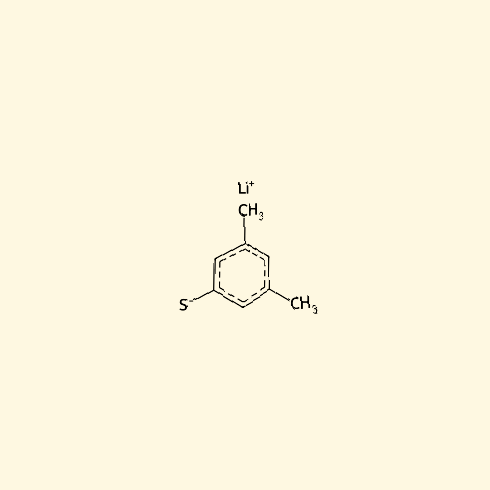 Cc1cc(C)cc([S-])c1.[Li+]